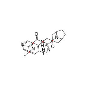 N[C@H](Cc1cc(F)c(F)cc1F)C1CC2CCC(C1)N2C(=O)CNC(=O)c1cnccn1